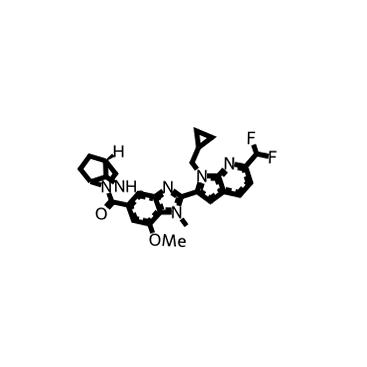 COc1cc(C(=O)N2C[C@H]3CCC2C3N)cc2nc(-c3cc4ccc(C(F)F)nc4n3CC3CC3)n(C)c12